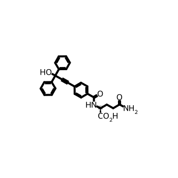 NC(=O)CC[C@H](NC(=O)c1ccc(C#CC(O)(c2ccccc2)c2ccccc2)cc1)C(=O)O